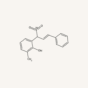 Cc1cccc(C(C=Cc2ccccc2)[SH](=O)=O)c1O